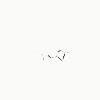 N[S+]([O-])C=Cc1ccc(Cl)cc1